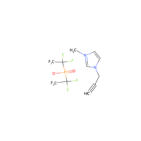 C#CCn1cc[n+](C)c1.O=P([O-])(C(F)(F)C(F)(F)F)C(F)(F)C(F)(F)F